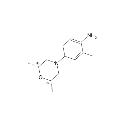 CC1=CC(N2C[C@@H](C)O[C@@H](C)C2)CC=C1N